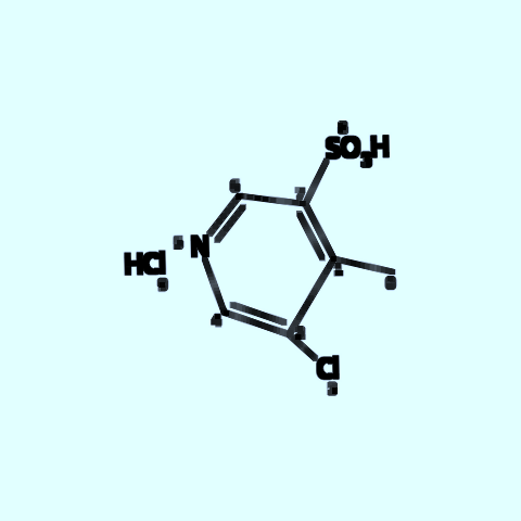 Cc1c(Cl)cncc1S(=O)(=O)O.Cl